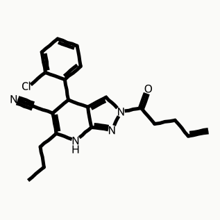 C=CCCC(=O)n1cc2c(n1)NC(CCC)=C(C#N)C2c1ccccc1Cl